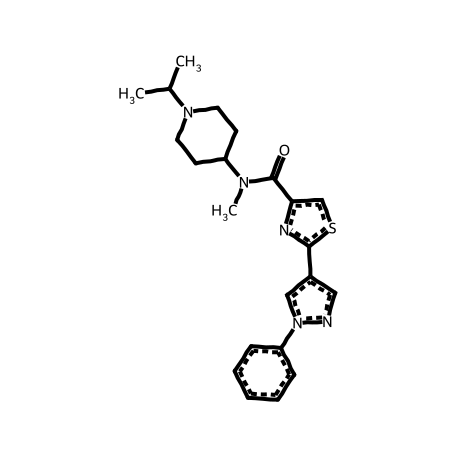 CC(C)N1CCC(N(C)C(=O)c2csc(-c3cnn(-c4ccccc4)c3)n2)CC1